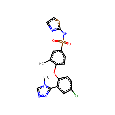 Cn1cnnc1-c1cc(Cl)ccc1Oc1ccc(S(=O)(=O)Nc2nccs2)cc1C#N